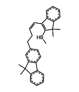 CBC1=C(/C=C\CCc2ccc3c(c2)C(C)(C)c2ccccc2-3)c2ccccc2C1(C)C